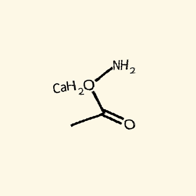 CC(=O)ON.[CaH2]